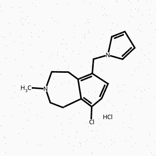 CN1CCc2c(Cl)ccc(Cn3cccc3)c2CC1.Cl